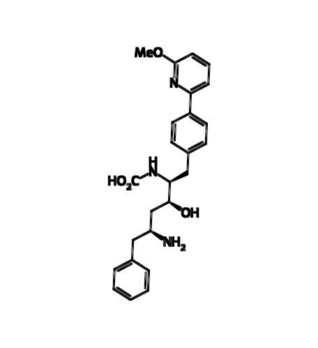 COc1cccc(-c2ccc(C[C@H](NC(=O)O)[C@@H](O)C[C@@H](N)Cc3ccccc3)cc2)n1